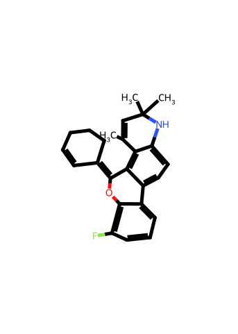 CC1=CC(C)(C)Nc2ccc3c(c21)C(=C1C=CCCC1)Oc1c(F)cccc1-3